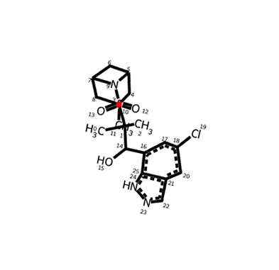 CC(C)(C1CC2CC(C1)N2S(C)(=O)=O)C(O)c1cc(Cl)cc2cn[nH]c12